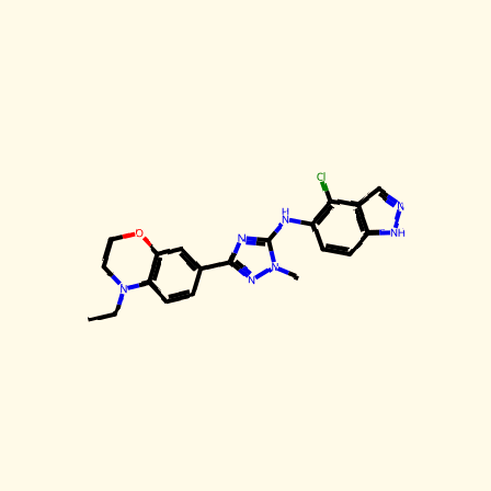 CCN1CCOc2cc(-c3nc(Nc4ccc5[nH]ncc5c4Cl)n(C)n3)ccc21